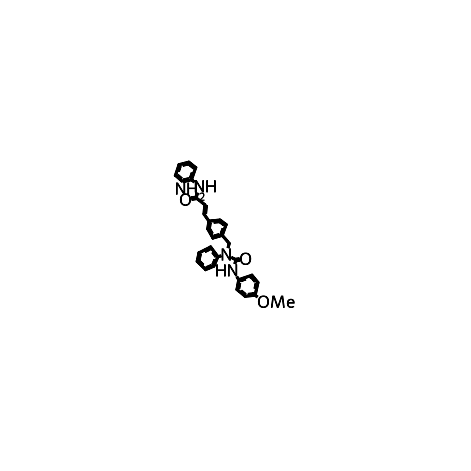 COc1ccc(NC(=O)N(Cc2ccc(/C=C/C(=O)Nc3ccccc3N)cc2)c2ccccc2)cc1